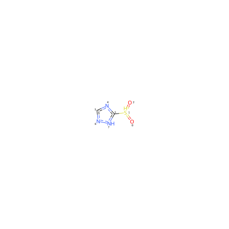 O=[SH](=O)c1n[c]n[nH]1